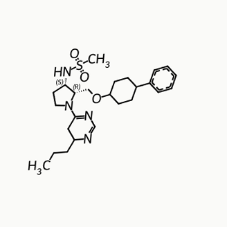 CCCC1CC(N2CC[C@H](NS(C)(=O)=O)[C@@H]2COC2CCC(c3ccccc3)CC2)=NC=N1